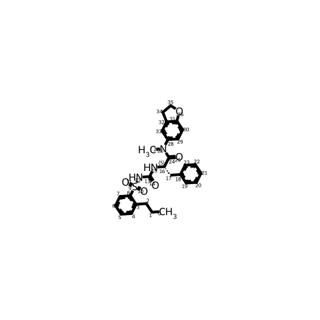 CCCc1ccccc1S(=O)(=O)NC(=O)N[C@@H](Cc1ccccc1)C(=O)N(C)c1ccc2c(c1)CCO2